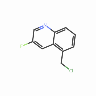 Fc1cnc2cccc(CCl)c2c1